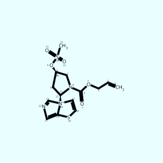 C=CCOC(=O)N1C[C@H](OS(C)(=O)=O)C[C@@H]1[N+]12C=CSC1=CN=C2